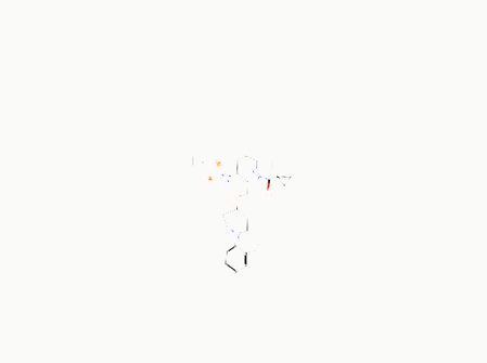 CS(=O)(=O)N[C@H]1CCCN(C(=O)C2(F)CC2)[C@H]1COC1CCN(c2ccccc2F)CC1